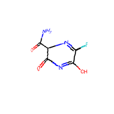 NC(=O)C1N=C(F)C(O)=NC1=O